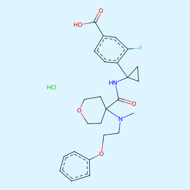 CN(CCOc1ccccc1)C1(C(=O)NC2(c3ccc(C(=O)O)cc3F)CC2)CCOCC1.Cl